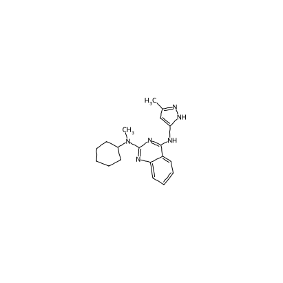 Cc1cc(Nc2nc(N(C)C3CCCCC3)nc3ccccc23)[nH]n1